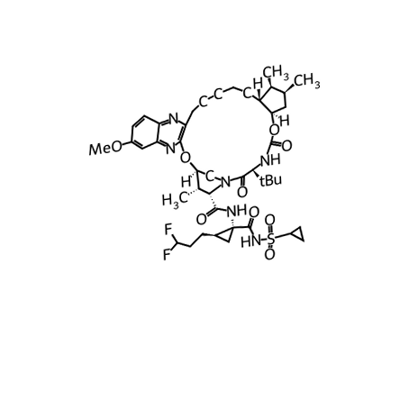 COc1ccc2nc3c(nc2c1)O[C@H]1CN(C(=O)[C@H](C(C)(C)C)NC(=O)O[C@@H]2C[C@H](C)[C@H](C)[C@H]2CCCCC3)[C@H](C(=O)N[C@]2(C(=O)NS(=O)(=O)C3CC3)C[C@H]2CCC(F)F)[C@@H]1C